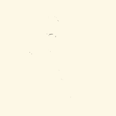 N[C@H]1CCCC[C@H]1Nc1cnc2scc(C(=O)Nc3ccsc3Cl)c2n1